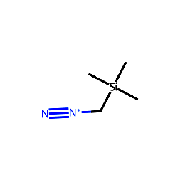 C[Si](C)(C)C[N+]#N